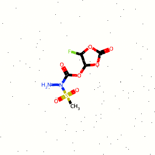 CS(=O)(=O)N(N)C(=O)OC1OC(=O)OC1F